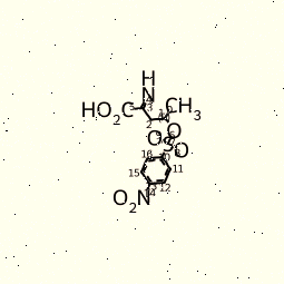 C[C@H](CC(=N)C(=O)O)OS(=O)(=O)c1ccc([N+](=O)[O-])cc1